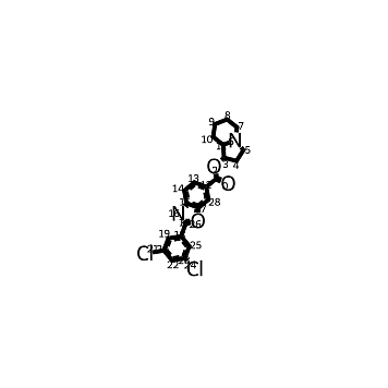 O=C(OC1CCN2CCCCC12)c1ccc2nc(-c3cc(Cl)cc(Cl)c3)oc2c1